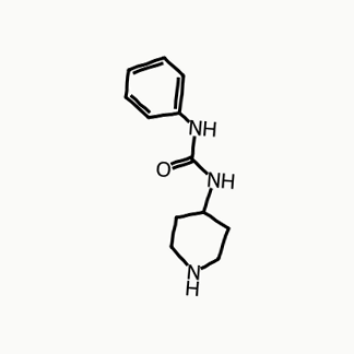 O=C(Nc1ccccc1)NC1CCNCC1